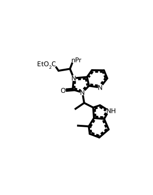 CCCC(CC(=O)OCC)n1c(=O)n(C(C)c2c[nH]c3cccc(C)c23)c2ncccc21